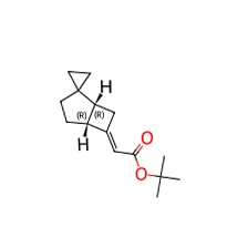 CC(C)(C)OC(=O)C=C1C[C@@H]2[C@H]1CCC21CC1